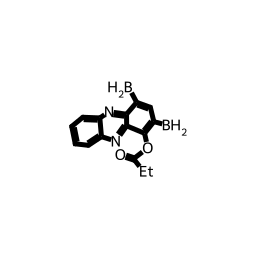 Bc1cc(B)c2nc3ccccc3nc2c1OC(=O)CC